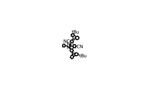 CC(C)(C)c1ccc2c(c1)c1ccccc1n2-c1ccc(-c2nc(-c3ccccc3)nc(-c3ccc(-n4c5ccccc5c5cc(C(C)(C)C)ccc54)cc3-c3cccc(C#N)c3)n2)c(C#N)c1